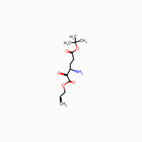 C=CCOC(=O)C(=O)C(N)CCC(=O)OC(C)(C)C